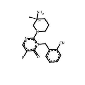 C[C@@]1(N)CCCN(c2ncc(F)c(=O)n2Cc2ccccc2C#N)C1